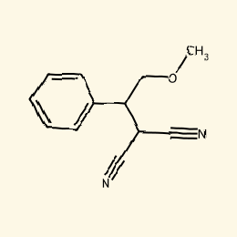 COCC(c1ccccc1)C(C#N)C#N